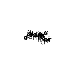 CCc1c(N2C[C@H]3CN(C(=O)c4ncnc(C)c4OCc4ccccc4)C[C@H]3C2)c(=O)n2nc(C3=CCOCC3)nc2n1CC(=O)Nc1ccc(C(F)(F)F)cc1Cl